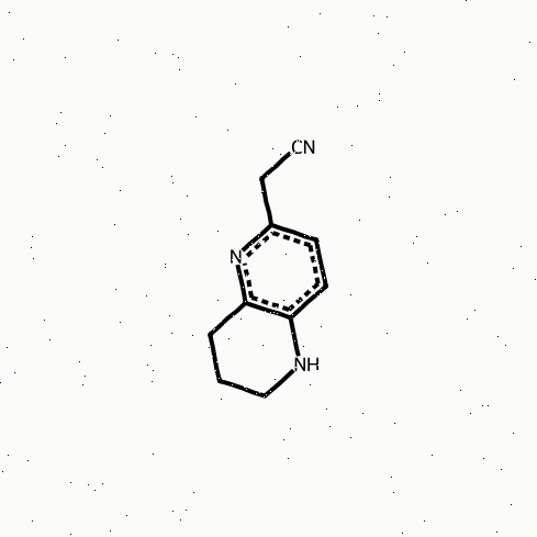 N#CCc1ccc2c(n1)CCCN2